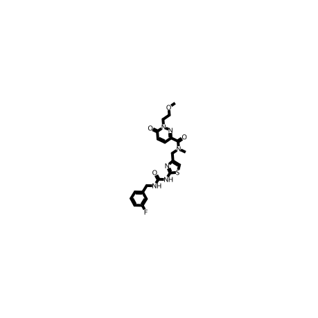 COCCn1nc(C(=O)N(C)Cc2csc(NC(=O)NCc3cccc(F)c3)n2)ccc1=O